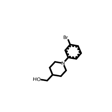 OCC1CCN(c2cccc(Br)c2)CC1